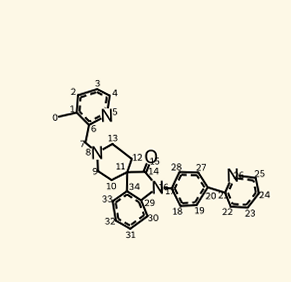 Cc1cccnc1CN1CCC2(CC1)C(=O)N(c1ccc(-c3ccccn3)cc1)c1ccccc12